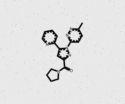 Cc1ccc(-n2nc(C(=O)N3CCCC3)cc2-c2ccccn2)nn1